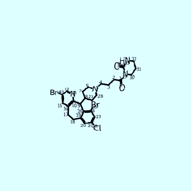 O=C(CCCN1CCC(C2c3ncc(Br)cc3CCc3cc(Cl)cc(Br)c32)CC1)N1CCCNC1=O